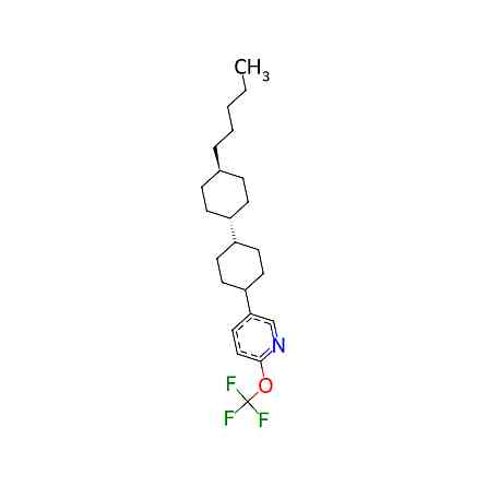 CCCCC[C@H]1CC[C@H](C2CCC(c3ccc(OC(F)(F)F)nc3)CC2)CC1